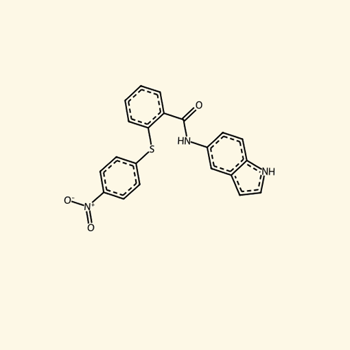 O=C(Nc1ccc2[nH]ccc2c1)c1ccccc1Sc1ccc([N+](=O)[O-])cc1